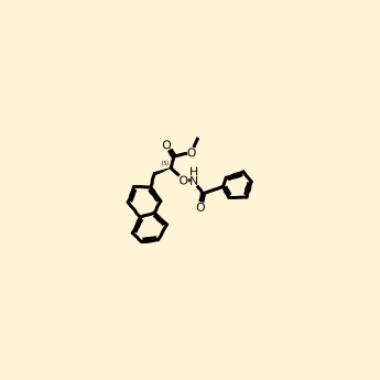 COC(=O)[C@H](Cc1ccc2ccccc2c1)ONC(=O)c1ccccc1